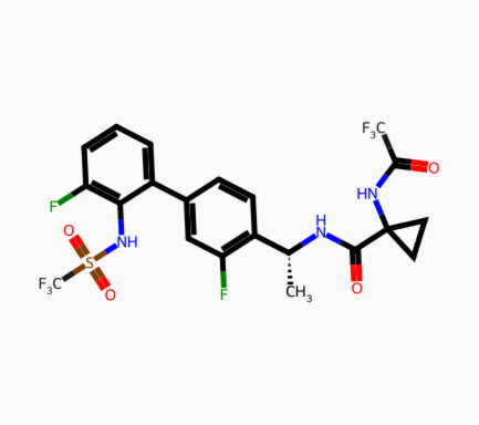 C[C@@H](NC(=O)C1(NC(=O)C(F)(F)F)CC1)c1ccc(-c2cccc(F)c2NS(=O)(=O)C(F)(F)F)cc1F